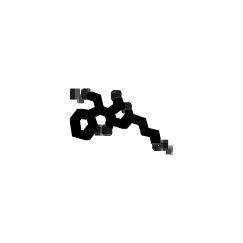 C=CCCc1cc(O)c(C(CC)c2ccccc2)c(=O)o1